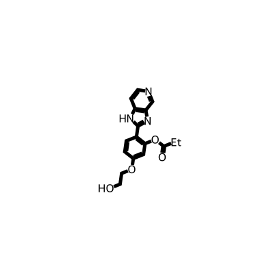 CCC(=O)Oc1cc(OCCO)ccc1-c1nc2cnccc2[nH]1